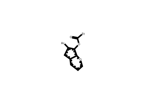 CCC(=O)Oc1c(C(C)=O)cc2cccoc1-2